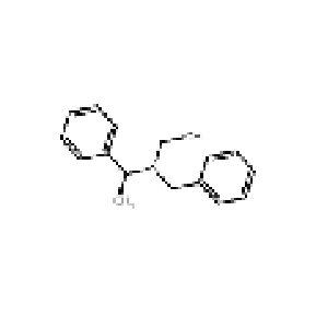 C[C@@H](c1ccccc1)N(CO)Cc1ccccc1